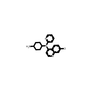 NC1CCC(N(c2ccccn2)c2ccnc3cc(Cl)ccc23)CC1